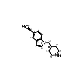 C#Cc1ccc2c(ccn2CC2CCNCC2)c1